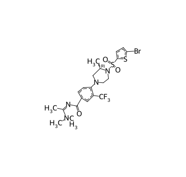 CC(=NC(=O)c1ccc(N2CCN(S(=O)(=O)c3ccc(Br)s3)[C@H](C)C2)c(C(F)(F)F)c1)N(C)C